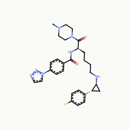 CN1CCN(C(=O)[C@@H](CCCCN[C@H]2C[C@@H]2c2ccc(F)cc2)NC(=O)c2ccc(-n3ccnn3)cc2)CC1